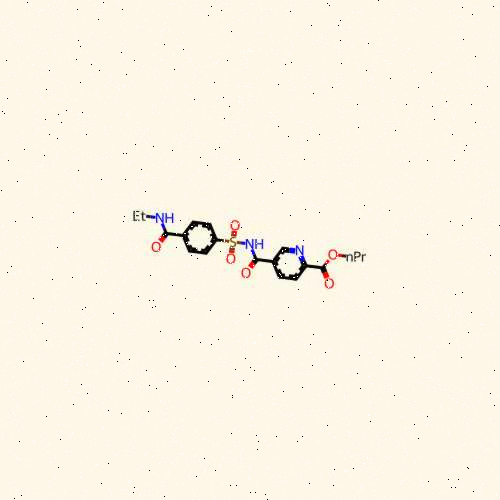 CCCOC(=O)c1ccc(C(=O)NS(=O)(=O)c2ccc(C(=O)NCC)cc2)cn1